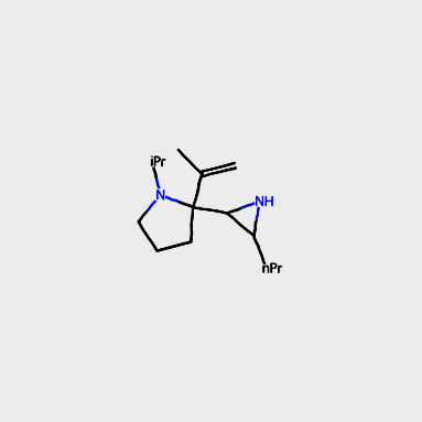 C=C(C)C1(C2NC2CCC)CCCN1C(C)C